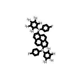 [2H]c1cc(N(c2ccc(F)cc2)c2ccc3ccc4c(N(c5ccc(F)cc5)c5c([2H])c([2H])c([2H])c([2H])c5[2H])ccc5ccc2c3c54)c([2H])c([2H])c1[2H]